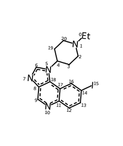 CCN1CCC(n2cnc3cnc4ccc(I)cc4c32)CC1